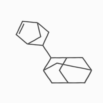 C1=CC2CC1CC2C1C2CC3CC(C2)CC1C3